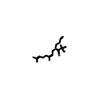 CCCCN(C/C=C(/C)CCC=C(C)C)C(=O)C(C)(C)C